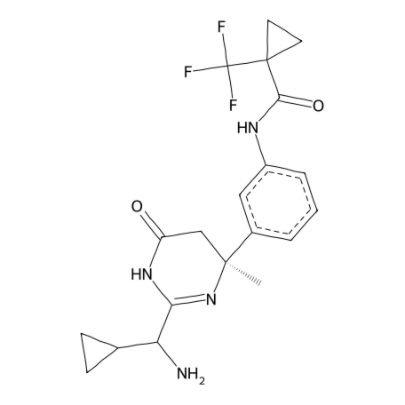 C[C@@]1(c2cccc(NC(=O)C3(C(F)(F)F)CC3)c2)CC(=O)NC(C(N)C2CC2)=N1